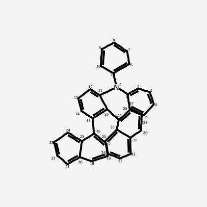 c1ccc(N(c2ccccc2)c2cccc(-c3cccc4ccccc34)c2-c2cccc3ccccc23)cc1